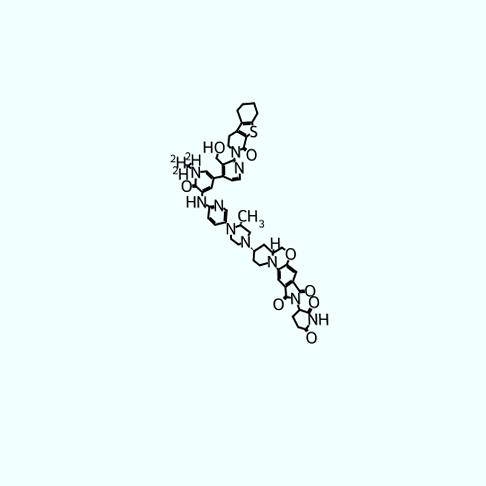 [2H]C([2H])([2H])n1cc(-c2ccnc(N3CCc4c(sc5c4CCCC5)C3=O)c2CO)cc(Nc2ccc(N3CCN([C@H]4CCN5c6cc7c(cc6OC[C@H]5C4)C(=O)N(C4CCC(=O)NC4=O)C7=O)C[C@@H]3C)cn2)c1=O